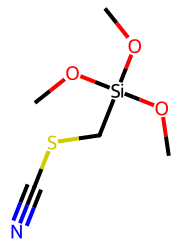 CO[Si](CSC#N)(OC)OC